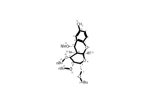 CCCCOC[C@H]1O[C@@H]2Oc3ccc(C)cc3[C@@H](OC)[C@@H]2[C@@H](OCCCC)[C@H]1OCCCC